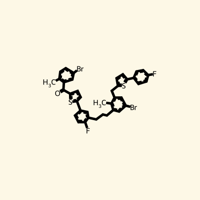 Cc1ccc(Br)cc1C(=O)c1ccc(-c2ccc(F)c(CCCc3cc(Br)cc(Cc4ccc(-c5ccc(F)cc5)s4)c3C)c2)s1